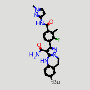 Cc1c(C(=O)Nc2ccn(C)n2)ccc(-c2nn3c(c2C(N)=O)Nc2ccc(C(C)(C)C)cc2CC3)c1F